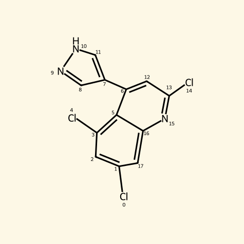 Clc1cc(Cl)c2c(-c3cn[nH]c3)cc(Cl)nc2c1